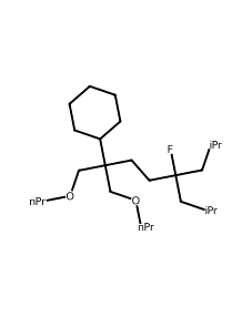 CCCOCC(CCC(F)(CC(C)C)CC(C)C)(COCCC)C1CCCCC1